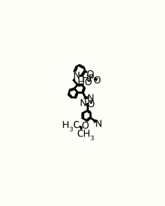 CC(C)Oc1ccc(-c2nc(-c3ccc(CN4C=CC=CC(O[PH](=O)O)=C4)c4ccccc34)no2)cc1C#N